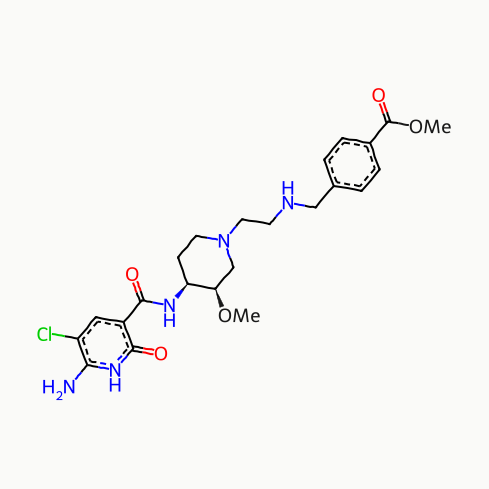 COC(=O)c1ccc(CNCCN2CC[C@H](NC(=O)c3cc(Cl)c(N)[nH]c3=O)[C@H](OC)C2)cc1